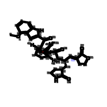 COc1cccc2[nH]c(C(=O)N3[C@H]4CC[C@@H]([C@H]3C(=O)N[C@H](/C=C3\CCOC3=O)C[C@@H]3CCNC3=O)C(F)(F)C4)cc12